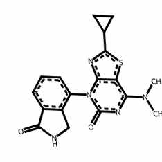 CN(C)c1nc(=O)n(-c2cccc3c2CNC3=O)c2nc(C3CC3)sc12